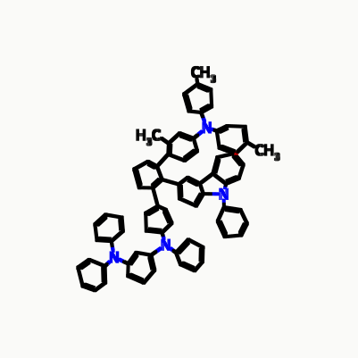 Cc1ccc(N(c2ccc(C)cc2)c2ccc(-c3cccc(-c4ccc(N(c5ccccc5)c5cccc(N(c6ccccc6)c6ccccc6)c5)cc4)c3-c3ccc4c(c3)c3ccccc3n4-c3ccccc3)c(C)c2)cc1